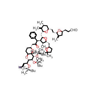 C=C1C[C@H](CCC=O)O[C@H]1CC[C@H]1C[C@@H](C)C(=C)[C@@H](C[C@@H]2O[C@H](C[C@H]3CCC(C)(C)O3)[C@H](C)[C@H]2C(C(=O)C[C@H]2CCC3O[C@@H]([C@H](/C=C/I)O[Si](C)(C)C(C)(C)C)[C@@H](O[Si](C)(C)C(C)(C)C)[C@@H](O[Si](C)(C)C(C)(C)C)[C@H]3O2)c2ccccc2)O1